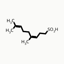 CC(C)=CCCC(C)=CCCS(=O)(=O)O